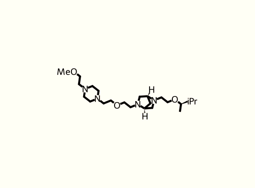 COCCN1CCN(CCOCCN2C[C@@H]3C[C@H]2CN3CCO[C@H](C)C(C)C)CC1